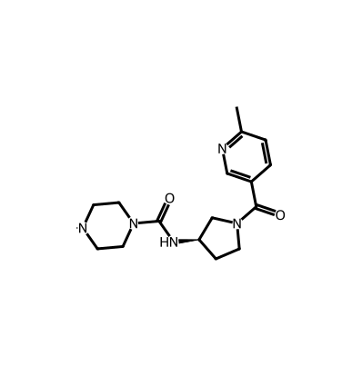 Cc1ccc(C(=O)N2CC[C@@H](NC(=O)N3CC[N]CC3)C2)cn1